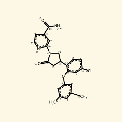 Cc1cc(C)cc(Oc2cc(Cl)ccc2C2CC(=O)N(c3cc(C(N)=O)ccn3)C2)c1